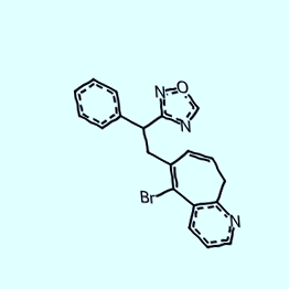 BrC1=C(CC(c2ccccc2)c2ncon2)C=CCc2ncccc21